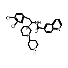 O=C(NC(Cc1ccc(Cl)c(Cl)c1)[C@@H]1CCCN(C2CCNCC2)C1)c1ccc2ncccc2c1